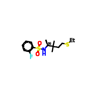 CCSCCC(C)(C)[C@H](C)NS(=O)(=O)c1ccccc1F